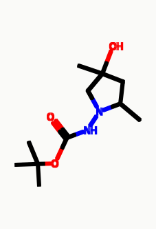 CC1CC(C)(O)CN1NC(=O)OC(C)(C)C